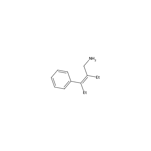 CCC(CN)=C(CC)c1ccccc1